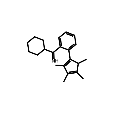 CC1=C(C)C(C)C(c2ccccc2C(=N)C2CCCCC2)=C1C